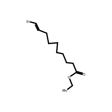 CCC=CCCCCCCCC(=O)OCC(C)(C)C